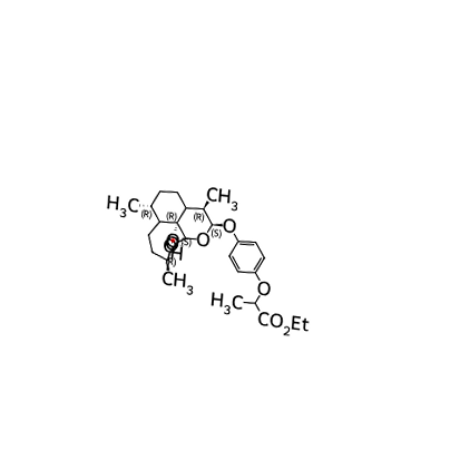 CCOC(=O)C(C)Oc1ccc(O[C@H]2O[C@H]3O[C@@]4(C)CCC5[C@H](C)CCC([C@H]2C)[C@]53OO4)cc1